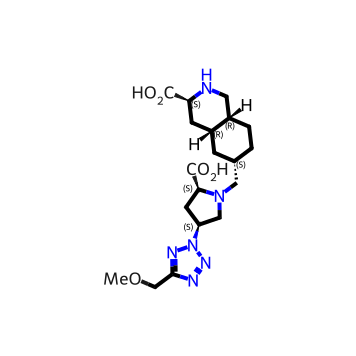 COCc1nnn([C@H]2C[C@@H](C(=O)O)N(C[C@H]3CC[C@H]4CN[C@H](C(=O)O)C[C@H]4C3)C2)n1